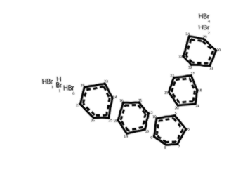 Br.Br.Br.Br.Br.c1ccccc1.c1ccccc1.c1ccccc1.c1ccccc1.c1ccccc1